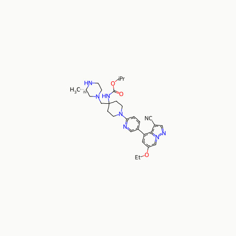 CCOc1cc(-c2ccc(N3CCC(CN4CCN[C@@H](C)C4)(NC(=O)OC(C)C)CC3)nc2)c2c(C#N)cnn2c1